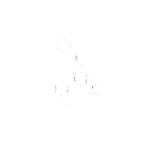 COC(=O)c1cc(-c2ccc(F)c(CN)c2)nn(CC=Cc2ccccc2)c1=O